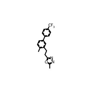 Cc1nnc(CCc2cc(-c3ccc(C(F)(F)F)cc3)ccc2C)o1